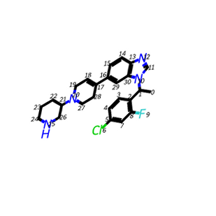 CC(c1ccc(Cl)cc1F)n1cnc2ccc(C3=CCN(C4CCCNC4)CC3)cc21